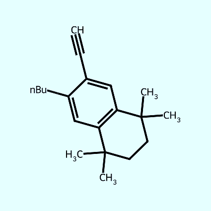 C#Cc1cc2c(cc1CCCC)C(C)(C)CCC2(C)C